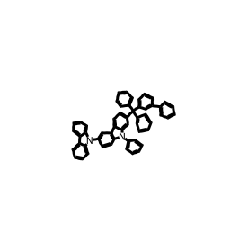 c1ccc(-c2cccc(C(c3ccccc3)(c3ccccc3)c3ccc4c5cc(-n6c7ccccc7c7ccccc76)ccc5n(-c5ccccc5)c4c3)c2)cc1